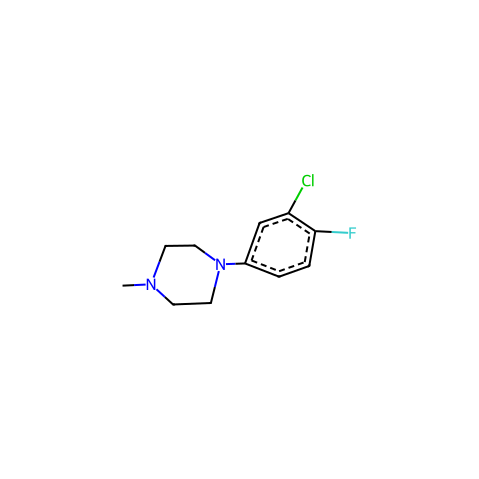 CN1CCN(c2ccc(F)c(Cl)c2)CC1